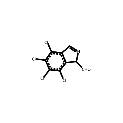 O=CC1N=Cc2c(Cl)c(Cl)c(Cl)c(Cl)c21